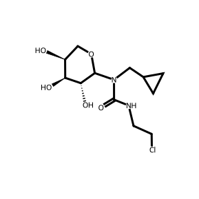 O=C(NCCCl)N(CC1CC1)C1OC[C@H](O)[C@H](O)[C@H]1O